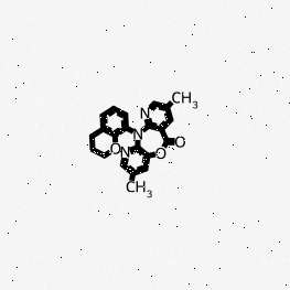 Cc1cnc2c(c1)OC(=O)c1cc(C)cnc1N2c1cccc2c1OCCC2